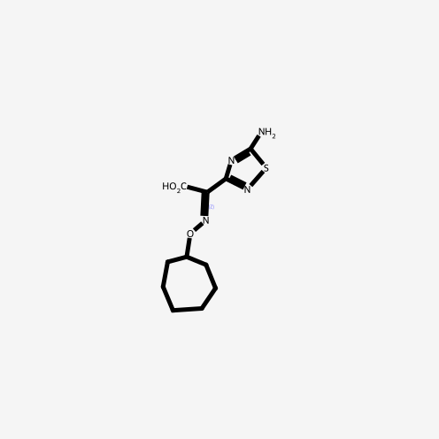 Nc1nc(/C(=N/OC2CCCCCC2)C(=O)O)ns1